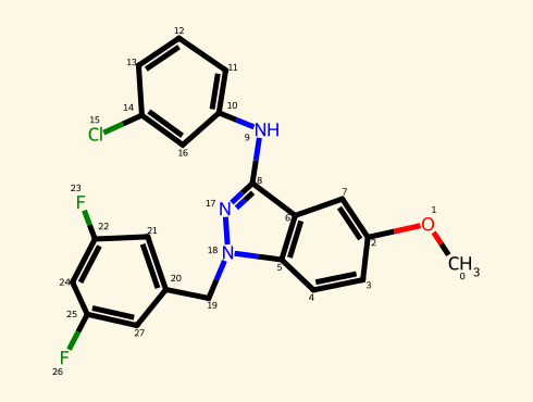 COc1ccc2c(c1)c(Nc1cccc(Cl)c1)nn2Cc1cc(F)cc(F)c1